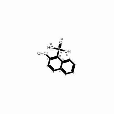 O=Cc1ccc2ccccc2c1P(=O)(O)O